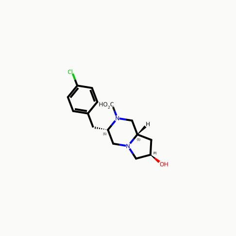 O=C(O)N1C[C@@H]2C[C@@H](O)CN2C[C@@H]1Cc1ccc(Cl)cc1